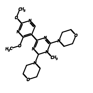 COc1ncc(C2=NC(N3CCOCC3)N(C)C(N3CCOCC3)=N2)c(OC)n1